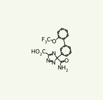 NC(=O)C1(c2cccc(-c3ccccc3OC(F)(F)F)c2)N=NC(C(=O)O)=N1